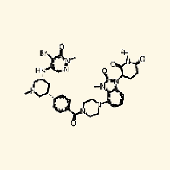 [2H]N1C(=O)CCC(n2c(=O)n(C)c3c(N4CCN(C(=O)c5ccc([C@H]6C[C@@H](Nc7cnn(C)c(=O)c7Br)CN(C)C6)cc5)CC4)cccc32)C1=O